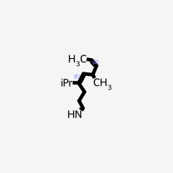 C/C=C\C(C)/C=C(\CCC=N)C(C)C